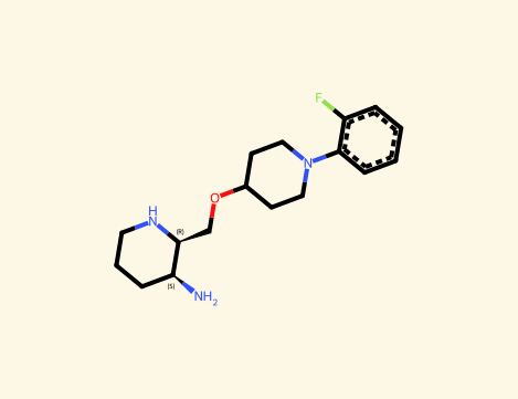 N[C@H]1CCCN[C@H]1COC1CCN(c2ccccc2F)CC1